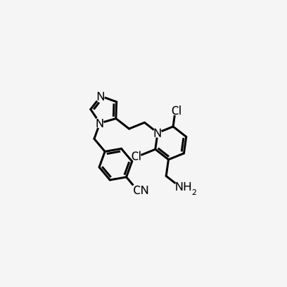 N#Cc1ccc(Cn2cncc2CCN2C(Cl)=C(CN)C=CC2Cl)cc1